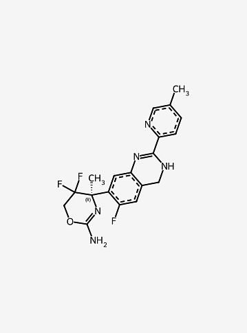 Cc1ccc(C2=Nc3cc([C@@]4(C)N=C(N)OCC4(F)F)c(F)cc3CN2)nc1